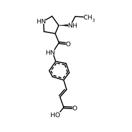 CCN[C@@H]1CNCC1C(=O)Nc1ccc(/C=C/C(=O)O)cc1